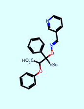 CCCCC(ON=Cc1cccnc1)(c1ccccc1)C(Oc1ccccc1)C(=O)O